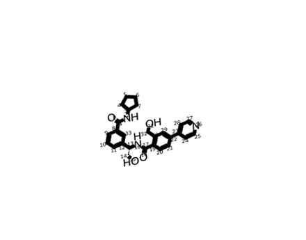 O=C(NC1CCCC1)c1cccc([C@@H](CO)NC(=O)c2ccc(-c3ccncc3)cc2CO)c1